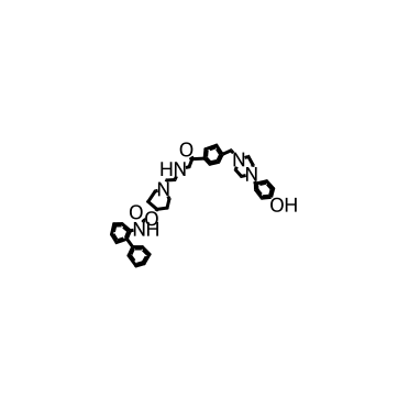 O=C(Nc1ccccc1-c1ccccc1)OC1CCN(CCNCC(=O)c2ccc(CN3CCN(c4ccc(O)cc4)CC3)cc2)CC1